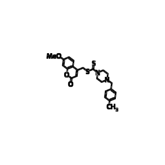 COc1ccc2c(CSC(=S)N3CCN(Cc4ccc(C)cc4)CC3)cc(=O)oc2c1